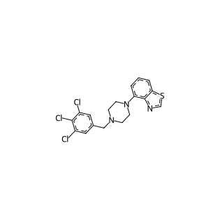 Clc1cc(CN2CCN(c3cccc4scnc34)CC2)cc(Cl)c1Cl